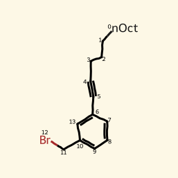 CCCCCCCCCCCC#Cc1cccc(CBr)c1